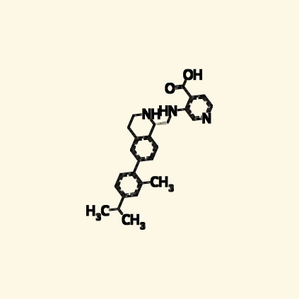 Cc1cc(C(C)C)ccc1-c1ccc2c(c1)CCN[C@@H]2CNc1cnccc1C(=O)O